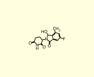 Cc1cc(F)cc2c1C(O)N(C1CCC(=O)NC1=O)C2=O